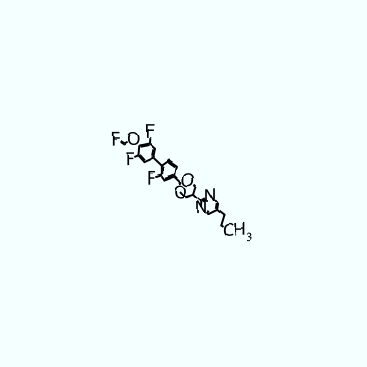 CCCc1cnc(C2COC(c3ccc(-c4cc(F)c(OCF)c(F)c4)c(F)c3)OC2)nc1